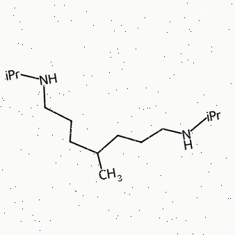 CC(CCCNC(C)C)CCCNC(C)C